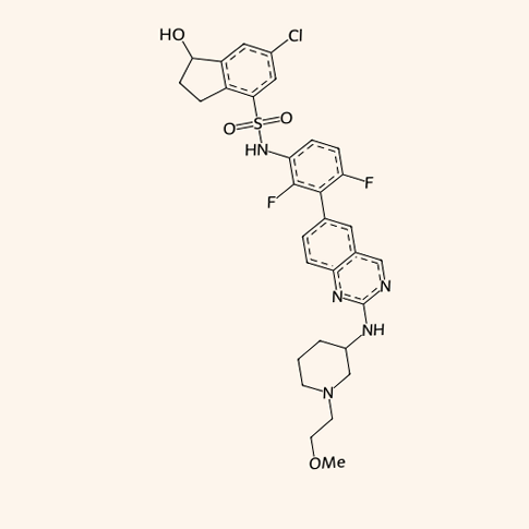 COCCN1CCCC(Nc2ncc3cc(-c4c(F)ccc(NS(=O)(=O)c5cc(Cl)cc6c5CCC6O)c4F)ccc3n2)C1